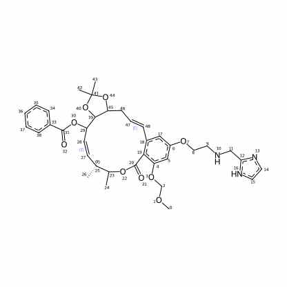 COCOc1cc(OCCNCc2ncc[nH]2)cc2c1C(=O)OC(C)[C@H](C)/C=C\C(OC(=O)c1ccccc1)C1OC(C)(C)OC1C/C=C/2